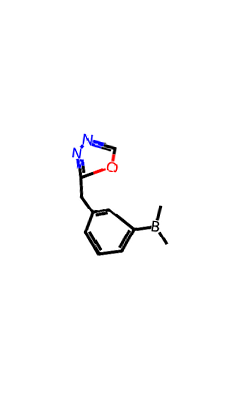 CB(C)c1cccc(Cc2nnco2)c1